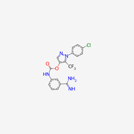 N=C(N)c1cccc(NC(=O)Oc2cnn(-c3ccc(Cl)cc3)c2C(F)(F)F)c1